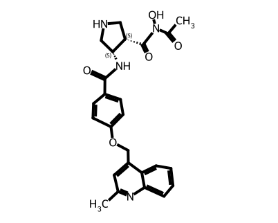 CC(=O)N(O)C(=O)[C@H]1CNC[C@H]1NC(=O)c1ccc(OCc2cc(C)nc3ccccc23)cc1